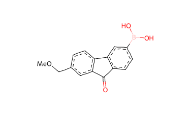 COCc1ccc2c(c1)C(=O)c1ccc(B(O)O)cc1-2